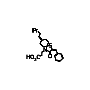 CC(C)CC=C1CCC2(CC1)SC(=Cc1ccccc1)C(=O)N2CCC(=O)O